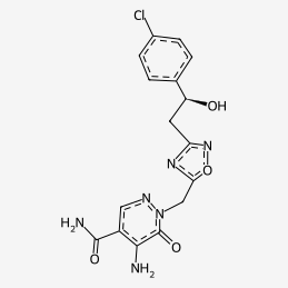 NC(=O)c1cnn(Cc2nc(C[C@H](O)c3ccc(Cl)cc3)no2)c(=O)c1N